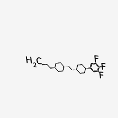 C=CCC[C@H]1CC[C@H](CC[C@H]2CC[C@H](c3cc(F)c(F)c(F)c3)CC2)CC1